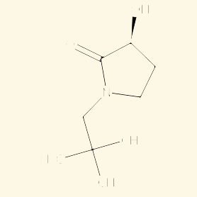 CC(C)(C)CN1CC[C@H](O)C1=O